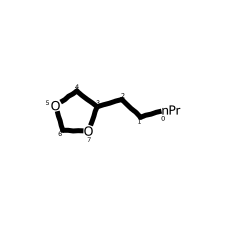 CCCCCC1COCO1